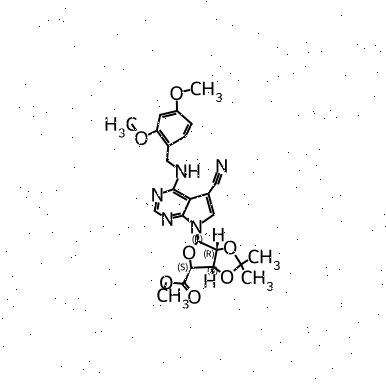 COC(=O)[C@H]1O[C@@H](n2cc(C#N)c3c(NCc4ccc(OC)cc4OC)ncnc32)[C@@H]2OC(C)(C)O[C@@H]21